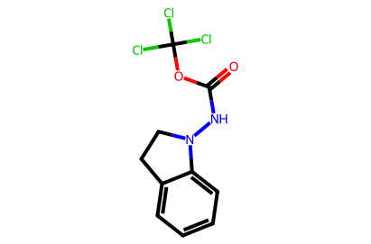 O=C(NN1CCc2ccccc21)OC(Cl)(Cl)Cl